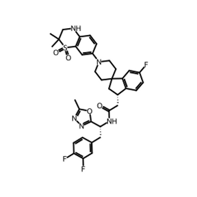 Cc1nnc([C@@H](Cc2ccc(F)c(F)c2)NC(=O)C[C@@H]2CC3(CCN(c4ccc5c(c4)S(=O)(=O)C(C)(C)CN5)CC3)c3cc(F)ccc32)o1